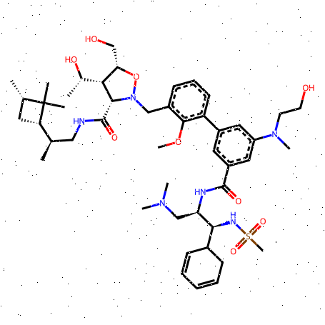 COc1c(CN2O[C@@H](CO)[C@@H]([C@H](C)O)[C@H]2C(=O)NC[C@@H](C)[C@@H]2C[C@H](C)C2(C)C)cccc1-c1cc(C(=O)N[C@H](CN(C)C)[C@@H](NS(C)(=O)=O)C2C=CC=CC2)cc(N(C)CCO)c1